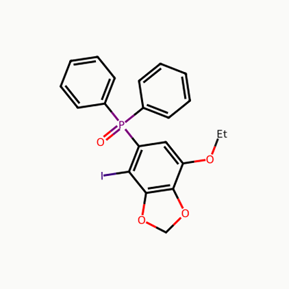 CCOc1cc(P(=O)(c2ccccc2)c2ccccc2)c(I)c2c1OCO2